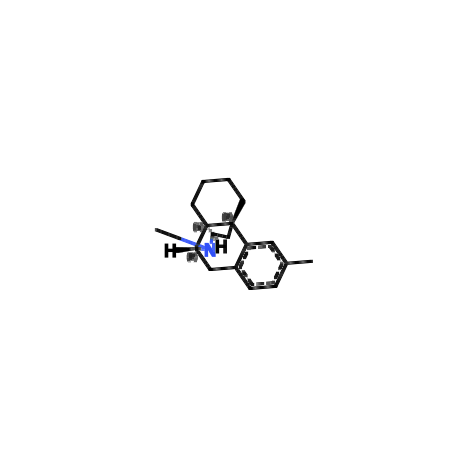 Cc1ccc2c(c1)[C@@]13CCCC[C@@H]1[C@@H](C2)N(C)CC3